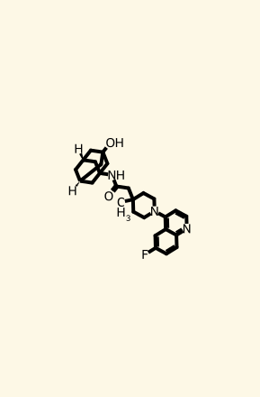 CC1(CC(=O)NC23C[C@@H]4C[C@@H](CC(O)(C4)C2)C3)CCN(c2ccnc3ccc(F)cc23)CC1